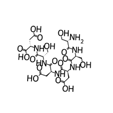 N[C@@H](CO)C(=O)N[C@@H](CO)C(=O)N[C@@H](CC(=O)O)C(=O)N[C@@H](CC(=O)O)C(=O)N[C@@H](CO)C(=O)N[C@@H](CC(=O)O)C(=O)O